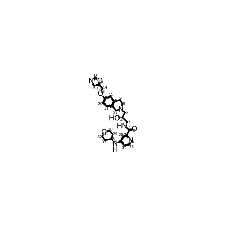 O=C(NC[C@H](O)CN1CCc2cc(OCc3cnco3)ccc2C1)c1cc(NC2CCOCC2)ccn1